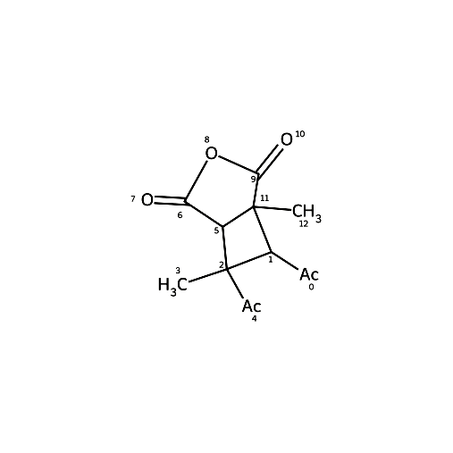 CC(=O)C1C(C)(C(C)=O)C2C(=O)OC(=O)C12C